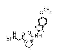 CCNCC(=O)N1CCC[C@H]1C(=O)Nc1nc2ccc(OC(F)(F)F)cc2s1